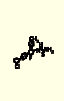 CN1CCN(c2cc(N3CCN(c4cccc(Cl)c4)CC3)c(F)cc2C=NNC(N)=S)CC1